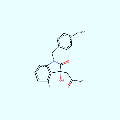 CCCC(=O)CC1(O)C(=O)N(Cc2ccc(OC)cc2)c2cccc(Cl)c21